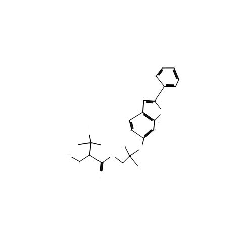 CC(C)(COC(=O)C(CN)C(C)(C)I)Oc1ccc2cc(-c3ccccc3)oc2c1